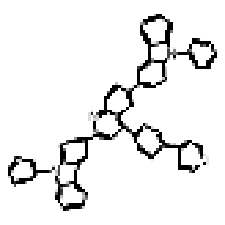 c1ccc(-n2c3ccccc3c3cc(-c4ccc5nc(-c6ccc7c(c6)c6ccccc6n7-c6ccccc6)cc(-c6ccc(-c7ccncc7)cc6)c5c4)ccc32)cc1